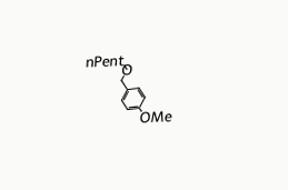 CCCCCOCc1ccc(OC)cc1